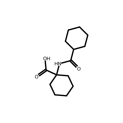 O=C(NC1(C(=O)O)CCCCC1)C1CCCCC1